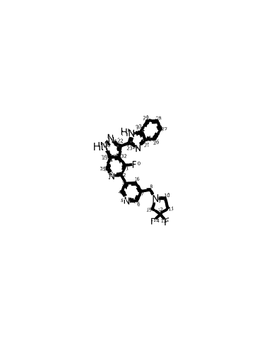 Fc1c(-c2cncc(CN3CCC(F)(F)C3)c2)ncc2[nH]nc(-c3nc4ccccc4[nH]3)c12